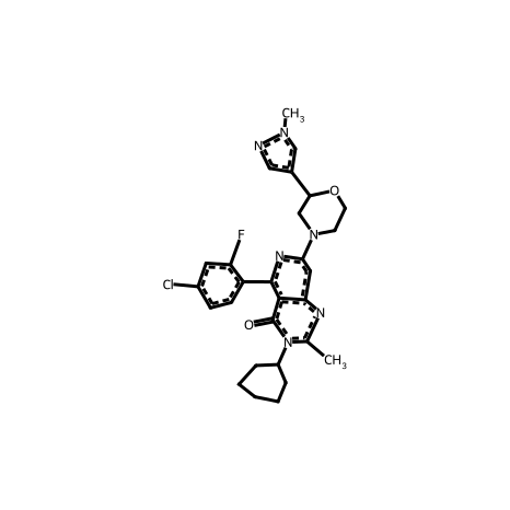 Cc1nc2cc(N3CCOC(c4cnn(C)c4)C3)nc(-c3ccc(Cl)cc3F)c2c(=O)n1C1CCCCC1